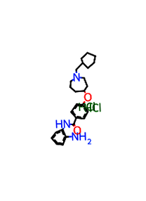 Cl.Cl.Nc1ccccc1NC(=O)c1ccc(OC2CCCN(CC3CCCCC3)CC2)cc1